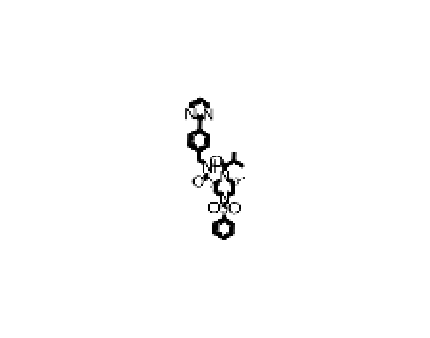 CC(C)C(=O)N1[C@H](C)CN(S(=O)(=O)c2ccccc2)C[C@@H]1C(=O)NCc1ccc(-c2ncccn2)cc1